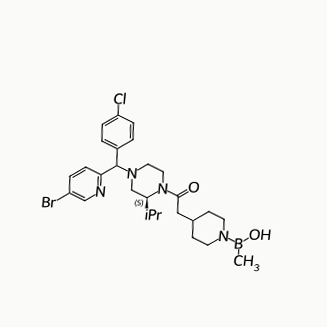 CB(O)N1CCC(CC(=O)N2CCN(C(c3ccc(Cl)cc3)c3ccc(Br)cn3)C[C@@H]2C(C)C)CC1